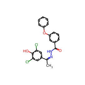 CC(=NNC(=O)c1cccc(Oc2ccccc2)c1)c1cc(Cl)c(O)c(Cl)c1